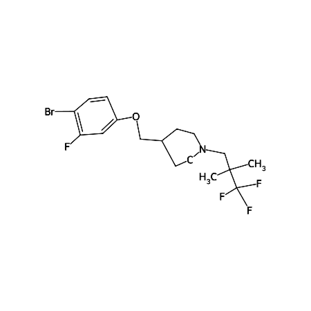 CC(C)(CN1CCC(COc2ccc(Br)c(F)c2)CC1)C(F)(F)F